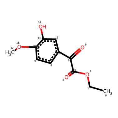 CCOC(=O)C(=O)c1ccc(OC)c(O)c1